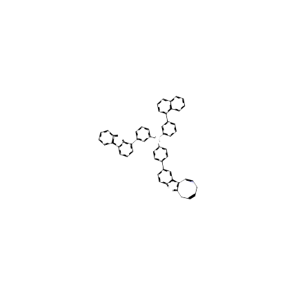 C1#CCc2oc3ccc(-c4ccc(N(c5cccc(-c6cccc7ccccc67)c5)c5cccc(-c6cccc7c6sc6ccccc67)c5)cc4)cc3c2/C=C\C1